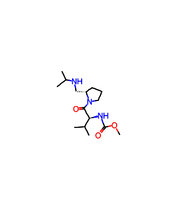 COC(=O)N[C@H](C(=O)N1CCC[C@H]1CNC(C)C)C(C)C